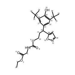 CCOC(=O)CNC(=O)OCCC(c1cc(C(C)(C)C)c(O)c(C(C)(C)C)c1)c1ccno1